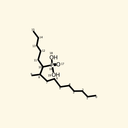 CCCCCCCCC(C)C(CCCCC)P(=O)(O)O